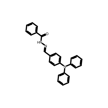 O=C(N/N=C/c1ccc(N(c2ccccc2)c2ccccc2)cc1)c1ccccc1